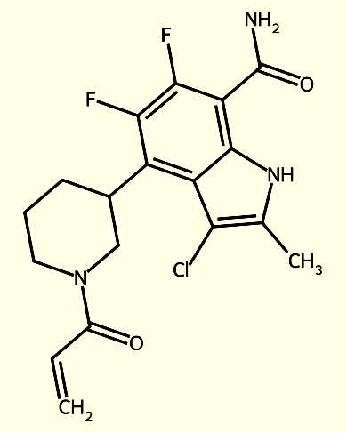 C=CC(=O)N1CCCC(c2c(F)c(F)c(C(N)=O)c3[nH]c(C)c(Cl)c23)C1